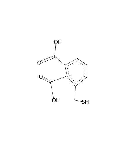 O=C(O)c1cccc(CS)c1C(=O)O